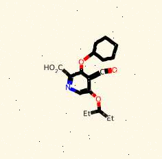 CCC(CC)OC1=CN=C(C(=O)O)C(OC2CCCCC2)C1=C=O